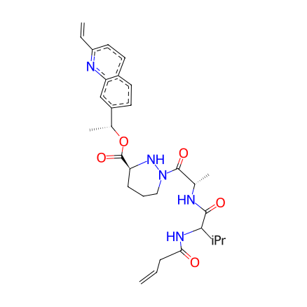 C=CCC(=O)NC(C(=O)N[C@@H](C)C(=O)N1CCC[C@@H](C(=O)O[C@H](C)c2ccc3ccc(C=C)nc3c2)N1)C(C)C